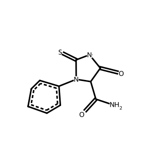 NC(=O)C1C(=O)[N]C(=S)N1c1ccccc1